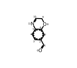 O=Cc1ccc2c(c1)OCC=N2